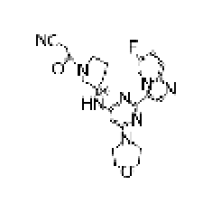 N#CCC(=O)N1CCC[C@@H](Nc2cc(N3CCOCC3)nc(-c3cnc4ccc(F)cn34)n2)C1